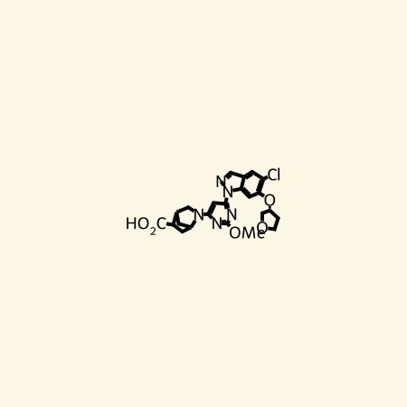 COc1nc(N2CC3CC2CC3C(=O)O)cc(-n2ncc3cc(Cl)c(O[C@H]4CCOC4)cc32)n1